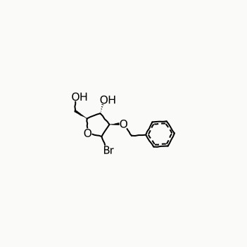 OC[C@@H]1OC(Br)[C@H](OCc2ccccc2)[C@H]1O